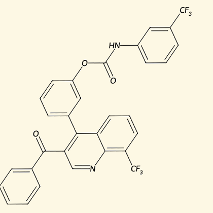 O=C(Nc1cccc(C(F)(F)F)c1)Oc1cccc(-c2c(C(=O)c3ccccc3)cnc3c(C(F)(F)F)cccc23)c1